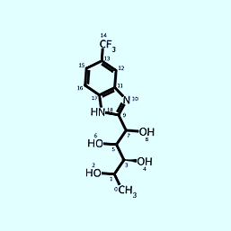 CC(O)[C@H](O)C(O)C(O)c1nc2cc(C(F)(F)F)ccc2[nH]1